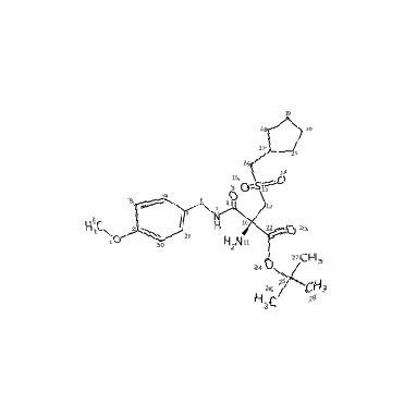 COc1ccc(CNC(=O)[C@](N)(CS(=O)(=O)CC2CCCC2)C(=O)OC(C)(C)C)cc1